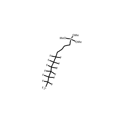 CO[Si](CCCCC(F)(F)C(F)(F)C(F)(F)C(F)(F)C(F)(F)C(F)(F)C(F)(F)F)(OC)OC